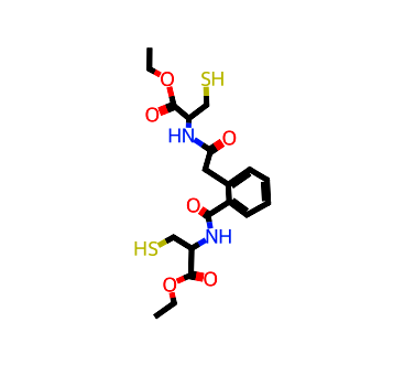 CCOC(=O)C(CS)NC(=O)Cc1ccccc1C(=O)NC(CS)C(=O)OCC